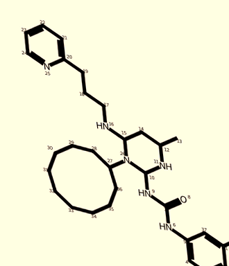 Cc1cccc(NC(=O)NC2NC(C)CC(NCCCc3ccccn3)N2C2CCCCCCCCC2)c1